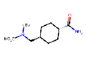 CCCCN(C[C@H]1CC[C@H](C(N)=O)CC1)C(=O)O